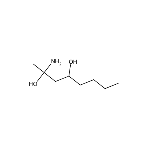 CCCCC(O)CC(C)(N)O